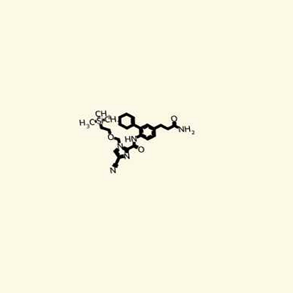 C[Si](C)(C)CCOCn1cc(C#N)nc1C(=O)Nc1ccc(CCC(N)=O)cc1C1=CCCCC1